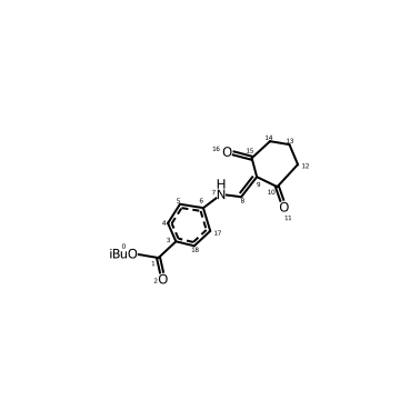 CC(C)COC(=O)c1ccc(NC=C2C(=O)CCCC2=O)cc1